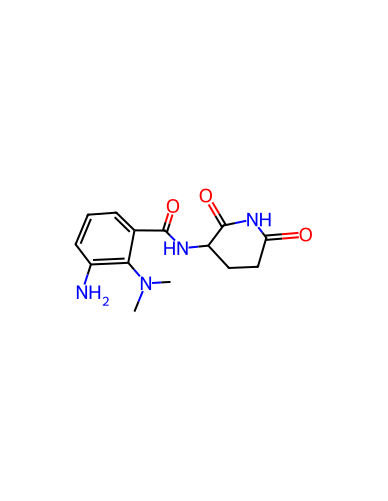 CN(C)c1c(N)cccc1C(=O)NC1CCC(=O)NC1=O